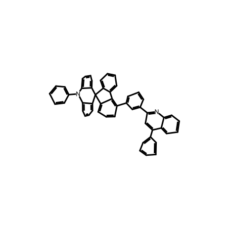 c1ccc(-c2cc(-c3cccc(-c4cccc5c4-c4ccccc4C54c5ccccc5N(c5ccccc5)c5ccccc54)c3)nc3ccccc23)cc1